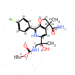 CC(C)(C)OC(=O)NCC(C)(O)c1cc2c(c(-c3ccc(F)cc3)n1)OC[C@]2(C)C(N)=O